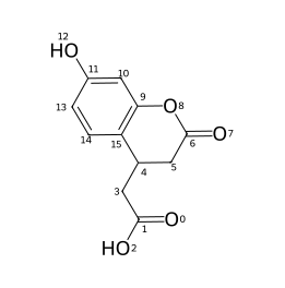 O=C(O)CC1CC(=O)Oc2cc(O)ccc21